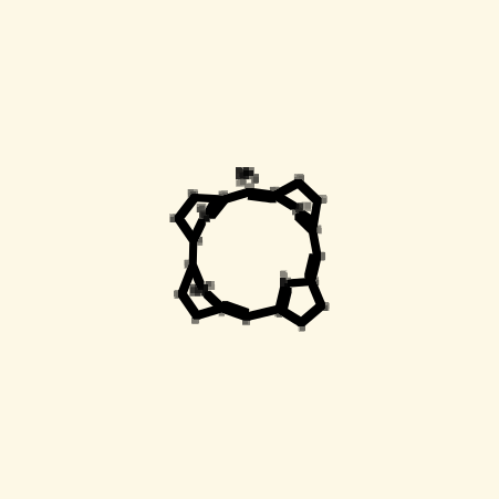 C1=C2CCC(=N2)C=C2CCC(N2)C2CCC(=N2)C=C2CCC1=N2.N